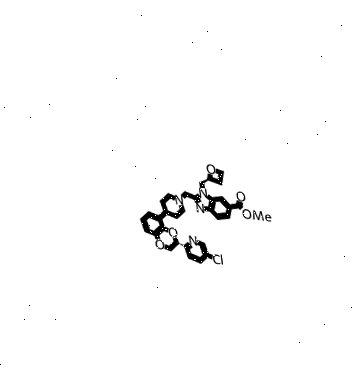 COC(=O)c1ccc2nc(CN3CCC(c4cccc5c4O[C@H](c4ccc(Cl)cn4)CO5)CC3)n(C[C@@H]3CCO3)c2c1